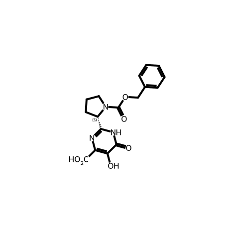 O=C(O)c1nc([C@@H]2CCCN2C(=O)OCc2ccccc2)[nH]c(=O)c1O